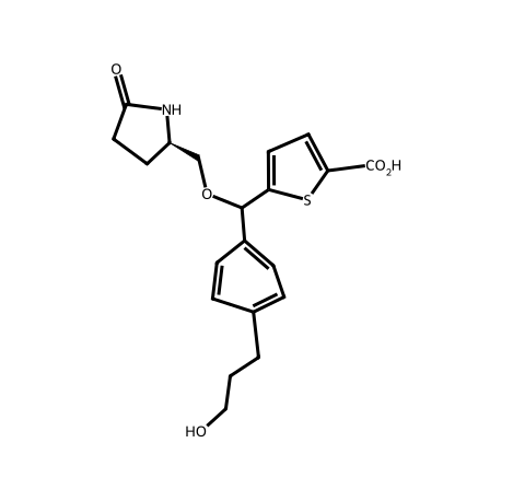 O=C1CC[C@H](COC(c2ccc(CCCO)cc2)c2ccc(C(=O)O)s2)N1